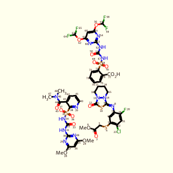 COC(=O)CSc1cc(/N=c2\sc(=O)n3n2CCCC3)c(F)cc1Cl.COc1cc(OC)nc(NC(=O)NS(=O)(=O)c2ncccc2C(=O)N(C)C)n1.O=C(Nc1nc(OC(F)F)cc(OC(F)F)n1)NS(=O)(=O)c1ccccc1C(=O)O